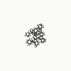 c1ccc(-c2nc3c(N(c4ccc5c(c4)c4ccccc4n5-c4ccccc4)c4cccc5c4sc4ccccc45)c4oc5ccccc5c4cc3o2)cc1